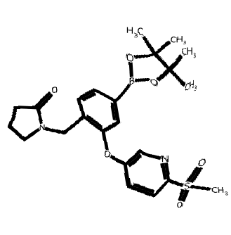 CC1(C)OB(c2ccc(CN3CCCC3=O)c(Oc3ccc(S(C)(=O)=O)nc3)c2)OC1(C)C